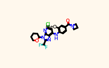 COc1cc(C(=O)N2CCC2)ccc1Nc1cc(Cl)nc2c1nc(C(F)F)n2C1CCCCO1